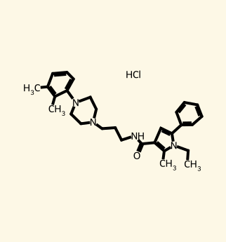 CCn1c(-c2ccccc2)cc(C(=O)NCCCN2CCN(c3cccc(C)c3C)CC2)c1C.Cl